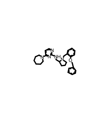 c1ccc(COc2ccccc2CN2CCCC2CNc2nccc(N3CCCCCC3)n2)cc1